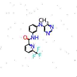 CN(c1cncnc1)c1cccc(NC(=O)c2cccc(C(F)(F)F)n2)c1